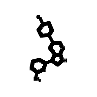 Nc1nccc(-c2c[nH]c3ncc(-c4ccc(Cl)cc4)cc23)n1